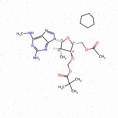 C1CCCCC1.CNc1nc(N)nc2c1ncn2[C@@H]1O[C@H](COC(C)=O)[C@@H](OCOC(=O)C(C)(C)C)[C@@]1(C)F